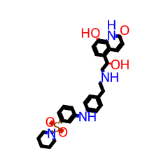 O=c1ccc2c([C@@H](O)CNCCc3ccc(Nc4cccc(S(=O)(=O)N5CCCCC5)c4)cc3)ccc(O)c2[nH]1